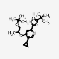 CC(COC(C)(C)C)Oc1cc(-c2noc(C(C)(C)C)n2)ncc1C1CC1